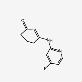 O=C1C=C(Nc2cc(F)ccn2)CCC1